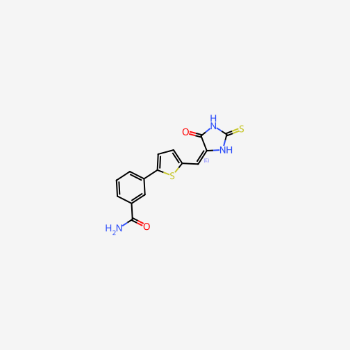 NC(=O)c1cccc(-c2ccc(/C=C3/NC(=S)NC3=O)s2)c1